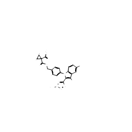 Cn1nnc(-c2c(Cl)c3cc(F)ccc3n2-c2ccc(CNC(=O)C3(C(N)=O)CC3)cc2)n1